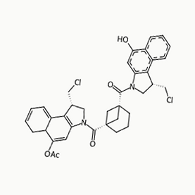 CC(=O)OC1=CC2=C(C3=CC=CCC13)[C@H](CCl)CN2C(=O)[C@]12CCC[C@](C(=O)N3C[C@@H](CCl)c4c3cc(O)c3ccccc43)(C1)C2